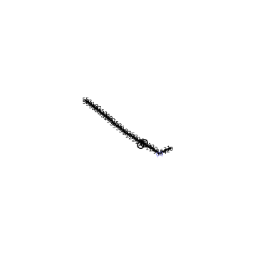 CCCCCC/C=C\CCCCCCCCOC(=O)CCCCCCCCCCCCCCCCCCCCCCCCCCCCCCCCCCCCC